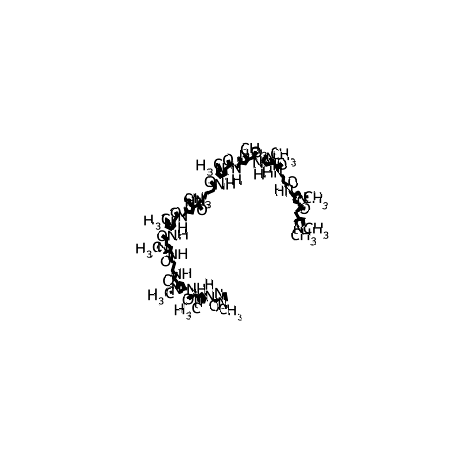 Cc1cc(CC(=O)c2cc(NC(=O)CCNC(=O)c3cc(NC(=O)c4cc(NC(=O)c5cc(NC(=O)CCCNC(=O)c6cc(NC(=O)c7cc(NC(=O)c8cc(NC(=O)CCNC(=O)c9cc(NC(=O)c%10cc(NC(=O)c%11nccn%11C)cn%10C)cn9C)cn8C)cn7C)cn6C)cn5C)cn4C)cn3C)cn2C)cn1C